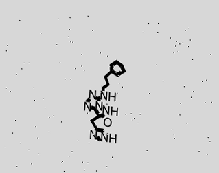 O=c1[nH]n2c(NCCCc3ccccc3)ncnc2c1Cc1c[nH]cn1